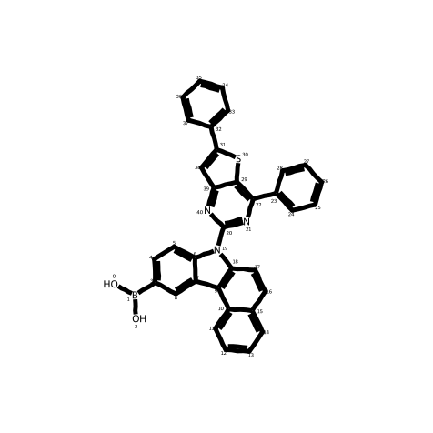 OB(O)c1ccc2c(c1)c1c3ccccc3ccc1n2-c1nc(-c2ccccc2)c2sc(-c3ccccc3)cc2n1